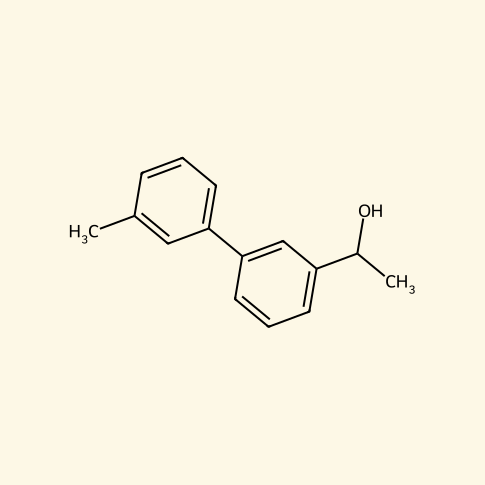 Cc1cccc(-c2cccc(C(C)O)c2)c1